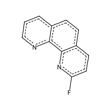 Fc1ccc2ccc3cccnc3c2n1